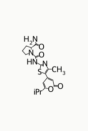 Cc1nc(NC(=O)N2CCC[C@H]2C(N)=O)sc1-c1cc(C(C)C)oc(=O)c1